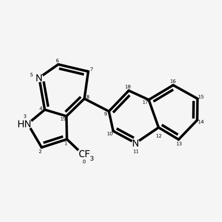 FC(F)(F)c1c[nH]c2nccc(-c3cnc4ccccc4c3)c12